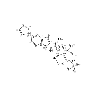 [2H]C([2H])([2H])Oc1ccnc(C([2H])([2H])[S+]([O-])c2nc3cc(-n4cccc4)ccc3[nH]2)c1C([2H])([2H])[2H]